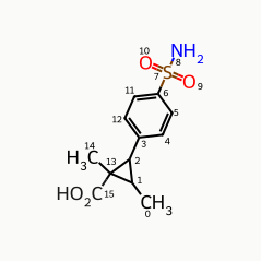 CC1C(c2ccc(S(N)(=O)=O)cc2)C1(C)C(=O)O